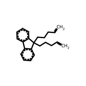 C=CCCCC1(CCCC=C)c2[c][c]ccc2-c2cc[c]cc21